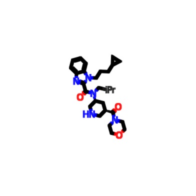 CC(C)CN(C(=O)c1nc2ccccc2n1CCCC1CC1)[C@@H]1CNC[C@H](C(=O)N2CCOCC2)C1